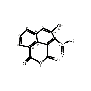 O=C1OC(=O)c2c([N+](=O)[O-])c(O)cc3cccc1c23